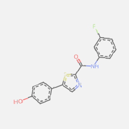 O=C(Nc1cccc(F)c1)c1ncc(-c2ccc(O)cc2)s1